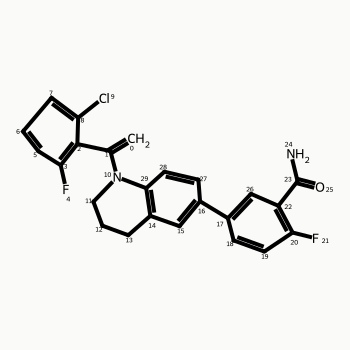 C=C(c1c(F)cccc1Cl)N1CCCc2cc(-c3ccc(F)c(C(N)=O)c3)ccc21